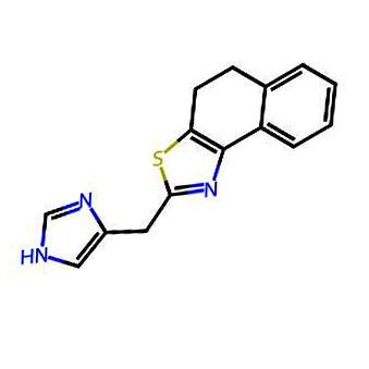 c1ccc2c(c1)CCc1sc(Cc3c[nH]cn3)nc1-2